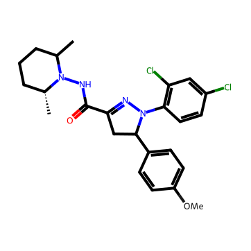 COc1ccc(C2CC(C(=O)NN3C(C)CCC[C@H]3C)=NN2c2ccc(Cl)cc2Cl)cc1